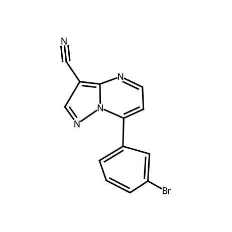 N#Cc1cnn2c(-c3cccc(Br)c3)ccnc12